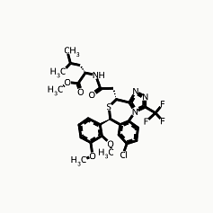 COC(=O)[C@H](CC(C)C)NC(=O)C[C@H]1S[C@H](c2cccc(OC)c2OC)c2cc(Cl)ccc2-n2c1nnc2C(F)(F)F